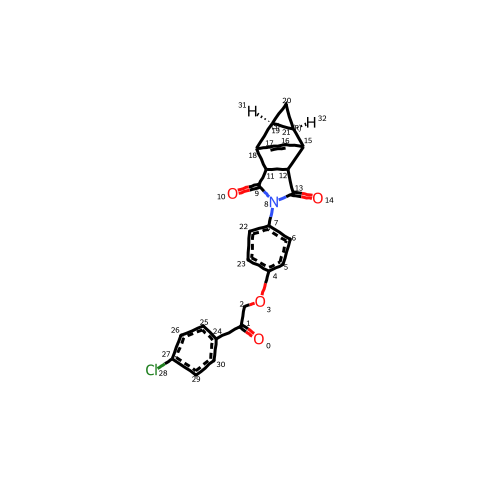 O=C(COc1ccc(N2C(=O)C3C(C2=O)C2C=CC3[C@H]3C[C@@H]23)cc1)c1ccc(Cl)cc1